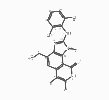 Cc1[nH]c(=O)c2c(cc(CO)c3nc(Nc4c(Cl)cccc4Cl)n(C)c32)c1C